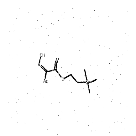 CC(=O)/C(=N/O)C(=O)OCC[Si](C)(C)C